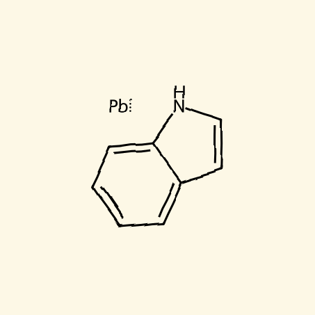 [Pb].c1ccc2[nH]ccc2c1